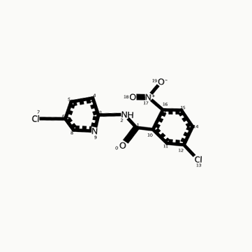 O=C(Nc1ccc(Cl)cn1)c1cc(Cl)ccc1[N+](=O)[O-]